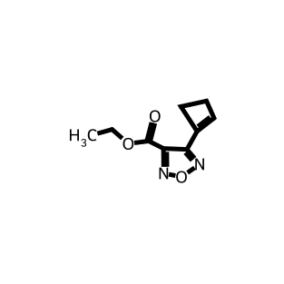 CCOC(=O)c1nonc1C1=CCC1